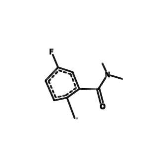 [CH2]c1ccc(F)cc1C(=O)N(C)C